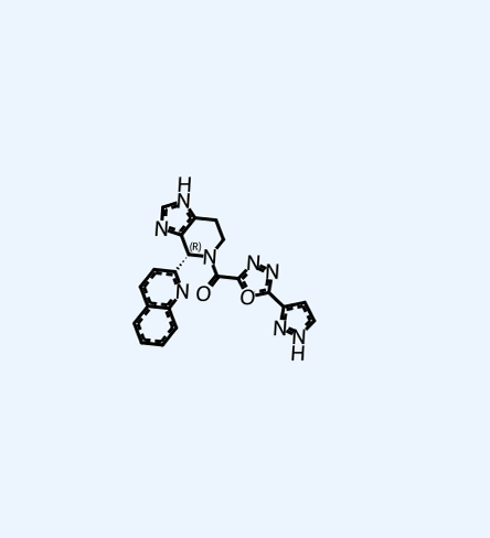 O=C(c1nnc(-c2cc[nH]n2)o1)N1CCc2[nH]cnc2[C@H]1c1ccc2ccccc2n1